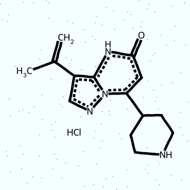 C=C(C)c1cnn2c(C3CCNCC3)cc(=O)[nH]c12.Cl